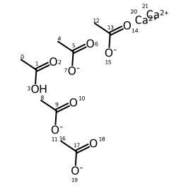 CC(=O)O.CC(=O)[O-].CC(=O)[O-].CC(=O)[O-].CC(=O)[O-].[Ca+2].[Ca+2]